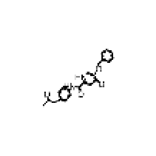 CC(=O)Cc1ccc(NC(=O)c2cc(=O)c(OCc3ccccc3)c[nH]2)cc1